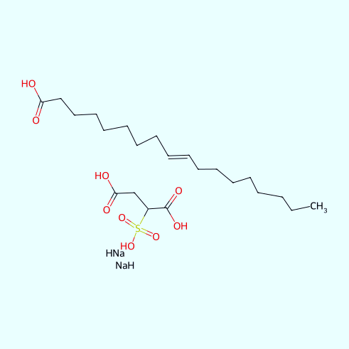 CCCCCCCCC=CCCCCCCCC(=O)O.O=C(O)CC(C(=O)O)S(=O)(=O)O.[NaH].[NaH]